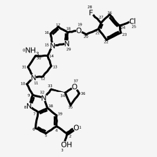 N.O=C(O)c1ccc2nc(CN3CCC(n4ccc(OCc5ccc(Cl)cc5F)n4)CC3)n(C[C@@H]3CCO3)c2c1